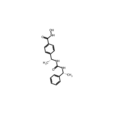 C[C@@H](NC(=O)N[C@H](C)c1ccc(C(=O)NO)cc1)c1ccccc1